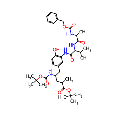 CC(CC(Cc1ccc(O)c(NC(=O)C(NC(=O)C(C)NC(=O)OCc2ccccc2)C(C)C)c1)NC(=O)OC(C)(C)C)C(=O)OC(C)(C)C